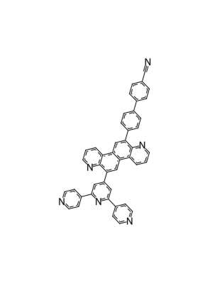 N#Cc1ccc(-c2ccc(-c3cc4c5cccnc5c(-c5cc(-c6ccncc6)nc(-c6ccncc6)c5)cc4c4cccnc34)cc2)cc1